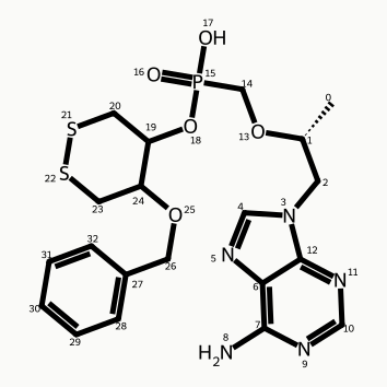 C[C@H](Cn1cnc2c(N)ncnc21)OCP(=O)(O)OC1CSSCC1OCc1ccccc1